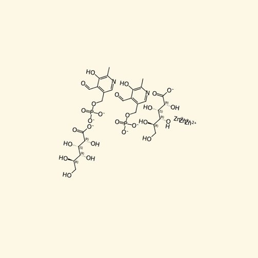 Cc1ncc(COP(=O)([O-])[O-])c(C=O)c1O.Cc1ncc(COP(=O)([O-])[O-])c(C=O)c1O.O=C([O-])[C@H](O)[C@@H](O)[C@H](O)[C@H](O)CO.O=C([O-])[C@H](O)[C@@H](O)[C@H](O)[C@H](O)CO.[Zn+2].[Zn+2].[Zn+2]